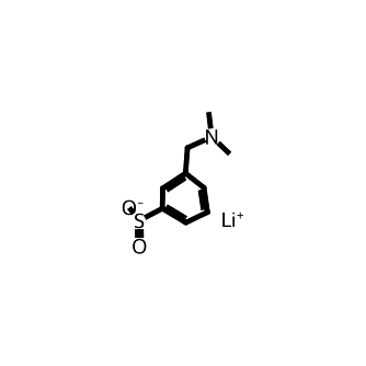 CN(C)Cc1cccc(S(=O)[O-])c1.[Li+]